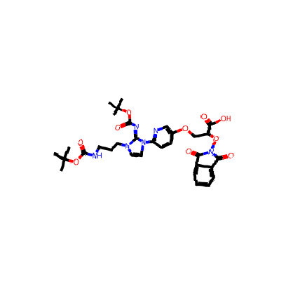 CC(C)(C)OC(=O)/N=c1\n(CCCNC(=O)OC(C)(C)C)ccn1-c1ccc(OCC(ON2C(=O)c3ccccc3C2=O)C(=O)O)cn1